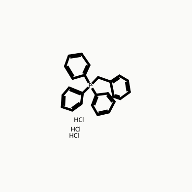 Cl.Cl.Cl.c1ccc(C[P](c2ccccc2)(c2ccccc2)c2ccccc2)cc1